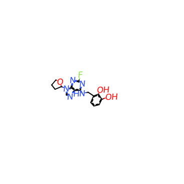 Oc1cccc(CNc2nc(F)nc3c2ncn3C2CCCO2)c1O